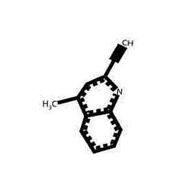 C#Cc1cc(C)c2ccccc2n1